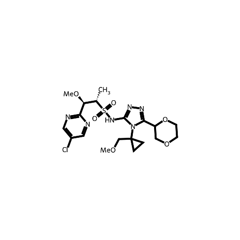 COCC1(n2c(NS(=O)(=O)[C@@H](C)[C@H](OC)c3ncc(Cl)cn3)nnc2C2COCCO2)CC1